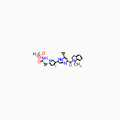 C[C@@H]1c2ccccc2CCN1C(=O)c1cc(C2CC2)n2nc(-c3cnc([C@@H]4C[C@H]4C(=O)NS(C)(=O)=O)cc3F)cc2n1